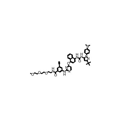 C#Cc1cc(Nc2nccc(Oc3ccc(NC(=O)Nc4cc(C(C)(C)C)nn4-c4ccc(N(C)C)cc4)c4ccccc34)n2)cc(C(=O)NCCOCCOCCOC)c1